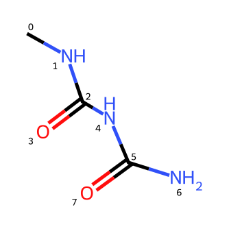 CNC(=O)NC(N)=O